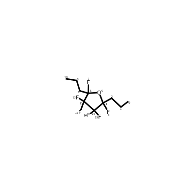 CCCC1(F)OC(F)(CCC)C(F)(F)C1(F)F